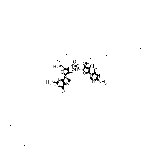 Nc1ncn([C@@H]2O[C@H](COP(=O)(O)OC3C(Cl)[C@H](n4cnc5c(=O)[nH]c(N)nc54)O[C@@H]3CO)C(O)C2Cl)c(=O)n1